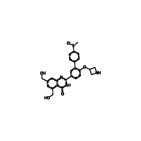 C[S+]([O-])c1ccc(-c2cc(-c3nc4cc(CO)cc(CO)c4c(=O)[nH]3)ccc2OC2CNC2)cc1